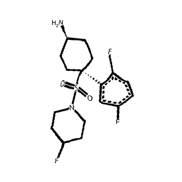 N[C@H]1CC[C@@](c2cc(F)ccc2F)(S(=O)(=O)N2CCC(F)CC2)CC1